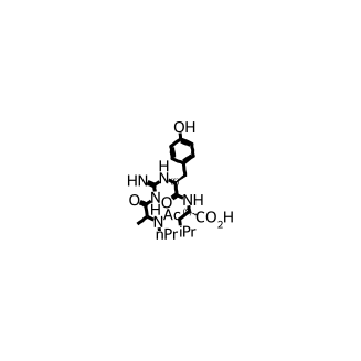 CCCN(C(C)=O)C(C)C(=O)NC(=N)N[C@@H](Cc1ccc(O)cc1)C(=O)N[C@@H](CC(C)C)C(=O)O